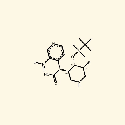 C[C@H]1CNC[C@@H](N(C(=O)O)c2ccncc2[N+](=O)[O-])[C@@H]1O[Si](C)(C)C(C)(C)C